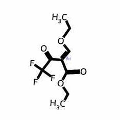 CCO/C=C(/C(=O)OCC)C(=O)C(F)(F)F